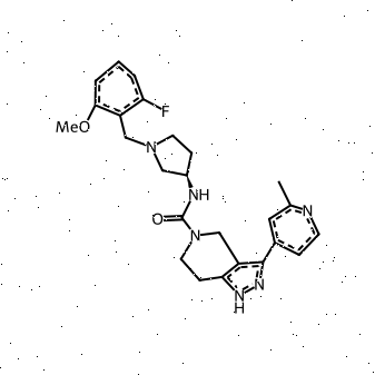 COc1cccc(F)c1CN1CC[C@@H](NC(=O)N2CCc3[nH]nc(-c4ccnc(C)c4)c3C2)C1